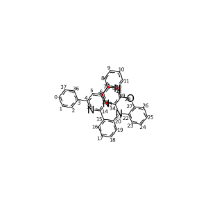 c1ccc(-c2cc(-c3ccccn3)nc(-c3ccccc3N3c4ccccc4Oc4ccccc43)n2)cc1